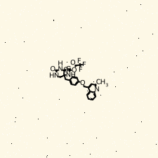 Cc1cc(COc2ccc(CC3(NC(=O)OC(=O)C(F)(F)F)CNC(=O)NC3=O)cc2)c2ccccc2n1